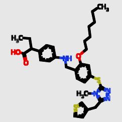 CCCCCCCOc1cc(Sc2nnc(Cc3ccsc3)n2C)ccc1CNc1ccc(C(CC)C(=O)O)cc1